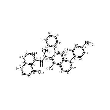 C[C@H](Nc1ncnc2[nH]ccc(=O)c12)c1c(Cl)c2cccc(-c3ccc(N)cc3)c2c(=O)n1-c1ccccc1